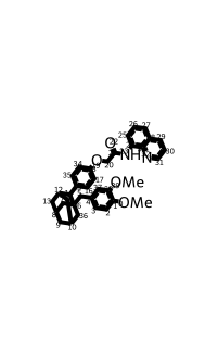 COc1ccc(CC23CC4CC(CC(C4)C2c2ccc(OCC(=O)Nc4cccc5cccnc45)cc2)C3)cc1OC